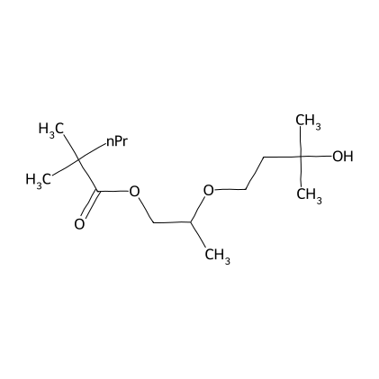 CCCC(C)(C)C(=O)OCC(C)OCCC(C)(C)O